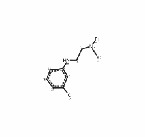 CCN(CC)CCNc1[c]c(Cl)ccc1